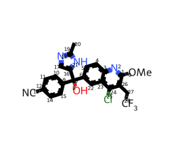 COc1nc2ccc(C(O)(c3ccc(C#N)cc3)c3cnc(C)[nH]3)cc2c(Cl)c1CC(F)(F)F